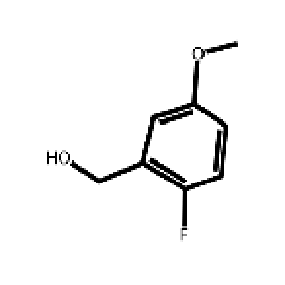 COc1ccc(F)c(CO)c1